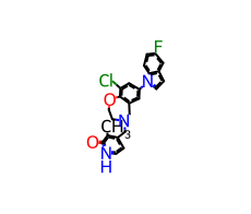 Cc1c(CN2CCOc3c(Cl)cc(-n4ccc5cc(F)ccc54)cc3C2)cc[nH]c1=O